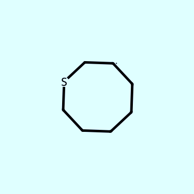 [CH]1CCCCCSC1